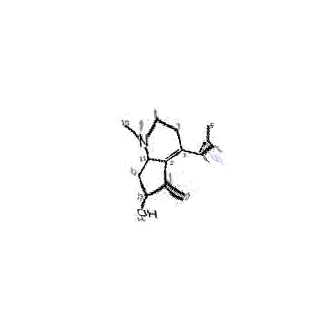 C=C1C2=C(/C=C\C)CCN(C)C2CC1O